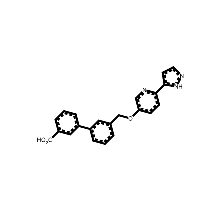 O=C(O)c1cccc(-c2cccc(COc3ccc(-c4ccn[nH]4)nc3)c2)c1